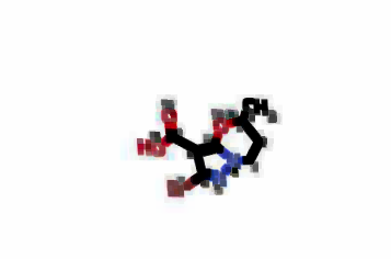 C[C@H]1CCn2nc(Br)c(C(=O)O)c2O1